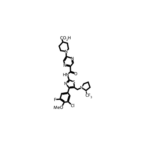 COc1c(F)cc(-c2nc(NC(=O)c3cnc(N4CCC(C(=O)O)CC4)cn3)sc2CN2CCC[C@H]2C(F)(F)F)cc1Cl